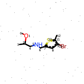 COC(C)CNCc1cc(Br)c(C)s1